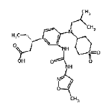 CC[C@@H](CC(=O)O)c1ccc(N(CC(C)C)C2CCS(=O)(=O)CC2)c(NC(=O)Nc2cc(C)on2)c1